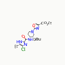 CCOC(=O)c1coc(N2CC[C@@H](NC(=O)c3nc(Cl)c(CC)[nH]3)[C@@H](OCC(C)C)C2)n1